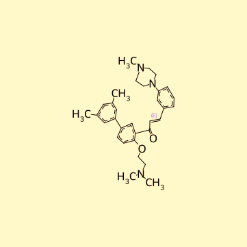 Cc1cc(C)cc(-c2ccc(OCCN(C)C)c(C(=O)/C=C/c3cccc(N4CCN(C)CC4)c3)c2)c1